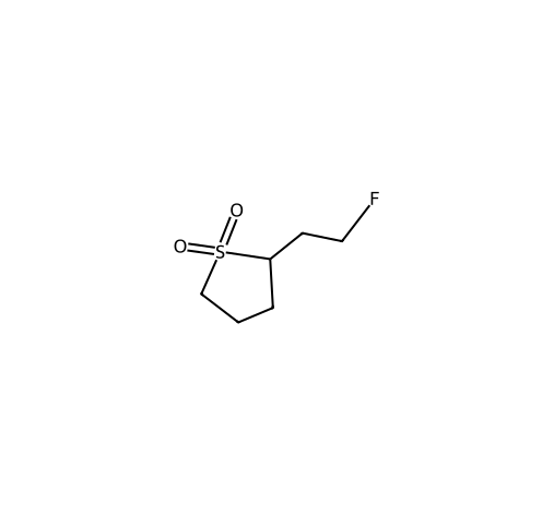 O=S1(=O)CCCC1CCF